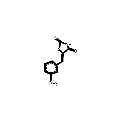 O=C1NC(=S)S/C1=C\c1cccc([N+](=O)[O-])c1